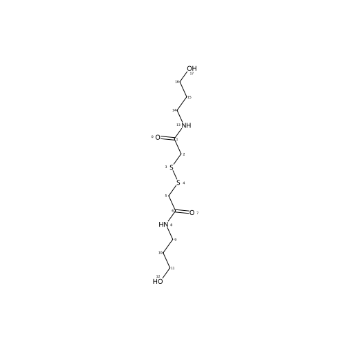 O=C(CSSCC(=O)NCCCO)NCCCO